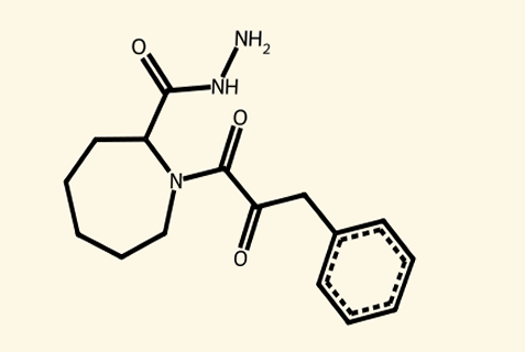 NNC(=O)C1CCCCCN1C(=O)C(=O)Cc1ccccc1